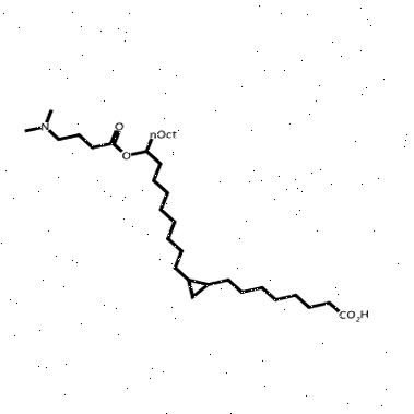 CCCCCCCCC(CCCCCCCCC1CC1CCCCCCCC(=O)O)OC(=O)CCCN(C)C